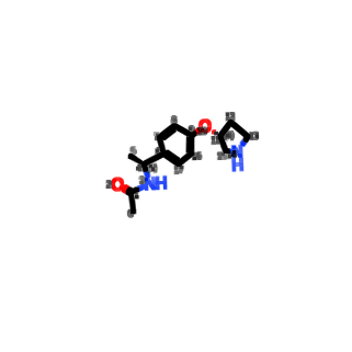 CC(=O)N[C@@H](C)c1ccc(O[C@@H]2CCNC2)cc1